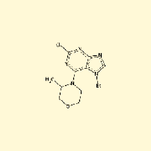 CCn1cnc2nc(Cl)nc(N3CCOCC3C)c21